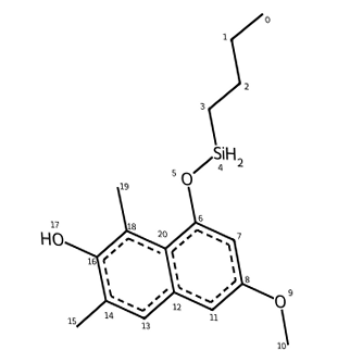 CCCC[SiH2]Oc1cc(OC)cc2cc(C)c(O)c(C)c12